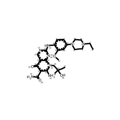 CCN1CCN(c2ccc(Nc3ncc4c(=O)c(C(N)=O)c(N)n(CC(C)(C)O)c4n3)c(OC)c2)CC1